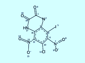 O=C1[N]c2c(I)c([N+](=O)[O-])c(Cl)c([N+](=O)[O-])c2NC1=O